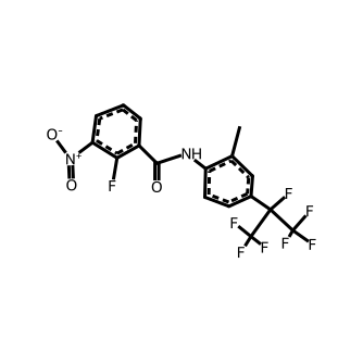 Cc1cc(C(F)(C(F)(F)F)C(F)(F)F)ccc1NC(=O)c1cccc([N+](=O)[O-])c1F